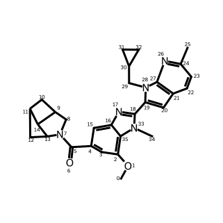 COc1cc(C(=O)N2CC3CC4CC2C43)cc2nc(-c3cc4ccc(C)nc4n3CC3CC3)n(C)c12